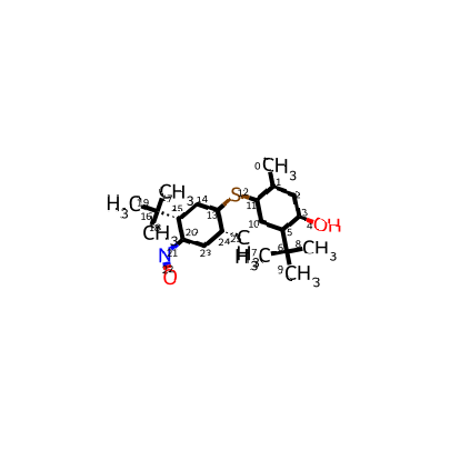 CC1CC(O)C(C(C)(C)C)CC1SC1C[C@@H](C(C)(C)C)C(N=O)C[C@H]1C